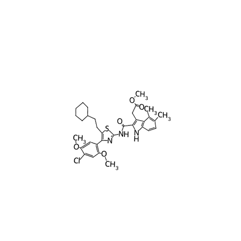 COC(=O)Cc1c(C(=O)Nc2nc(-c3cc(OC)c(Cl)cc3OC)c(CCC3CCCCC3)s2)[nH]c2ccc(C)c(C)c12